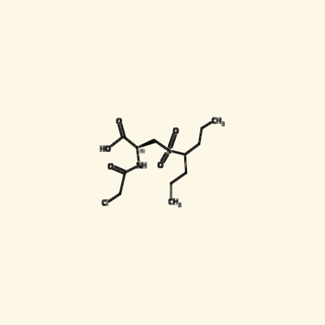 CCCC(CCC)S(=O)(=O)C[C@@H](NC(=O)CCl)C(=O)O